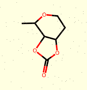 CC1OCCC2OC(=O)OC12